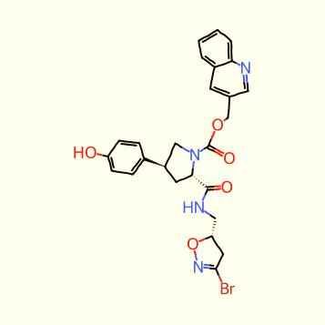 O=C(NC[C@@H]1CC(Br)=NO1)[C@@H]1C[C@@H](c2ccc(O)cc2)CN1C(=O)OCc1cnc2ccccc2c1